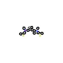 C[Si]1(C)c2cc(N(c3ccccc3)c3ccc4sc5ccccc5c4c3)ccc2-c2cc3c4ccccc4c(N(c4ccccc4)c4ccc5sc6ccccc6c5c4)cc3c3cccc1c23